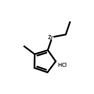 C[CH2][Zr][C]1=C(C)C=CC1.Cl